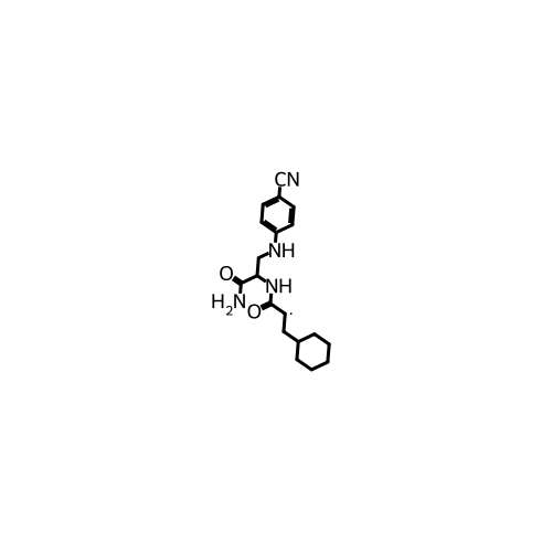 N#Cc1ccc(NCC(NC(=O)[CH]CC2CCCCC2)C(N)=O)cc1